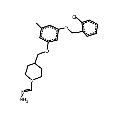 Cc1cc(OCc2ccccc2Cl)cc(OCC2CCN(C=NN)CC2)c1